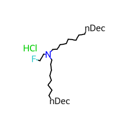 CCCCCCCCCCCCCCCCCCN(CCF)CCCCCCCCCCCCCCCCCC.Cl